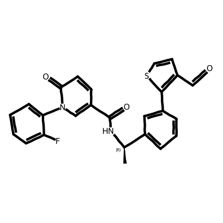 C[C@@H](NC(=O)c1ccc(=O)n(-c2ccccc2F)c1)c1cccc(-c2sccc2C=O)c1